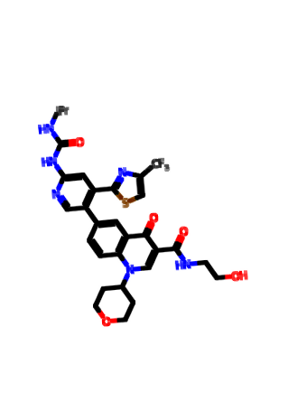 CC(C)NC(=O)Nc1cc(-c2nc(C(F)(F)F)cs2)c(-c2ccc3c(c2)c(=O)c(C(=O)NCCO)cn3C2CCOCC2)cn1